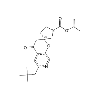 C=C(C)OC(=O)N1CC[C@]2(CC(=O)c3cc(CC(C)(C)C)ncc3O2)C1